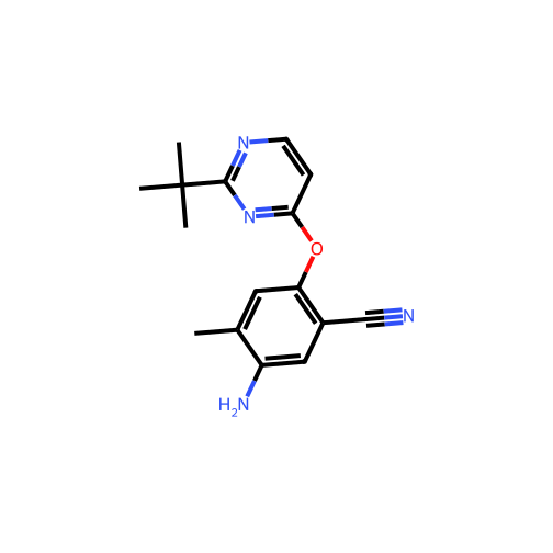 Cc1cc(Oc2ccnc(C(C)(C)C)n2)c(C#N)cc1N